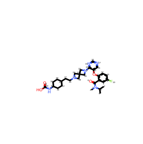 CC(C)N(C)C(=O)c1cc(F)ccc1Oc1cncnc1N1CC2(CN(CCC3CCC(NC(=O)O)CC3)C2)C1